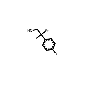 CCC(C)(CO)c1ccc(F)cc1